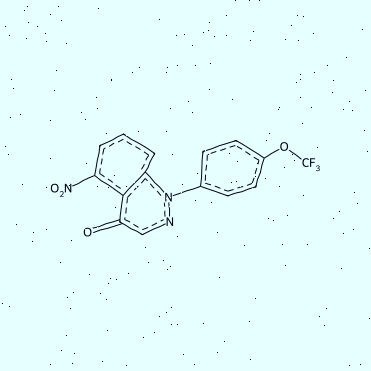 O=c1cnn(-c2ccc(OC(F)(F)F)cc2)c2cccc([N+](=O)[O-])c12